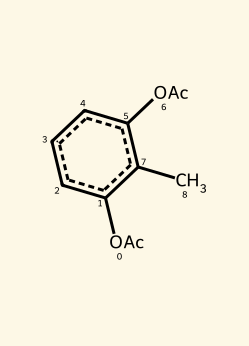 CC(=O)Oc1c[c]cc(OC(C)=O)c1C